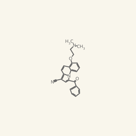 CN(C)CCOc1cccc2c1ccc1c(C#N)cc(C(=O)c3ccccc3)n12